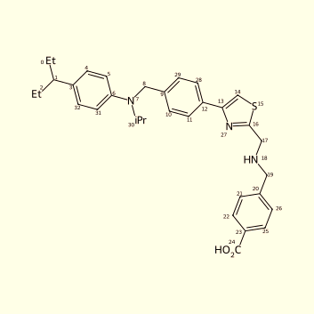 CCC(CC)c1ccc(N(Cc2ccc(-c3csc(CNCc4ccc(C(=O)O)cc4)n3)cc2)C(C)C)cc1